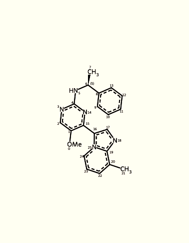 COc1cnc(N[C@@H](C)c2ccccc2)nc1-c1cnc2c(C)cccn12